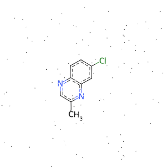 Cc1cnc2ccc(Cl)cc2n1